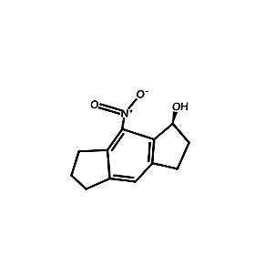 O=[N+]([O-])c1c2c(cc3c1[C@@H](O)CC3)CCC2